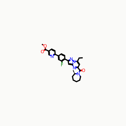 CCc1cc(C(=O)N2CCCCC[C@H]2C)nc2cc(-c3ccc(-c4ccc(C(=O)OC)cn4)cc3F)nn12